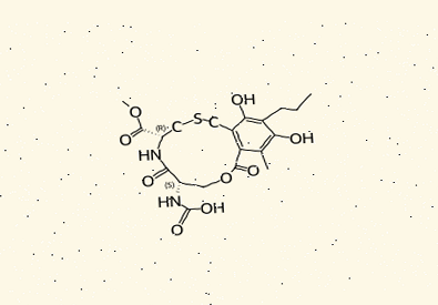 CCCc1c(O)c(C)c2c(c1O)CSC[C@@H](C(=O)OC)NC(=O)[C@@H](NC(=O)O)COC2=O